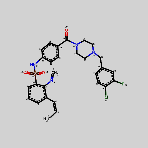 C=Nc1c(/C=C\C)cccc1S(=O)(=O)Nc1ccc(C(=O)N2CCN(Cc3ccc(Cl)c(F)c3)CC2)cc1